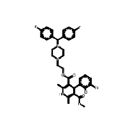 COC(=O)C1=C(C)NC(C)=C(C(=O)OCCN2CCN(C(c3ccc(F)cc3)c3ccc(F)cc3)CC2)C1c1cccc(Cl)c1Cl